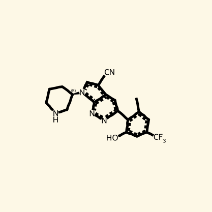 Cc1cc(C(F)(F)F)cc(O)c1-c1cc2c(C#N)cn([C@@H]3CCCNC3)c2nn1